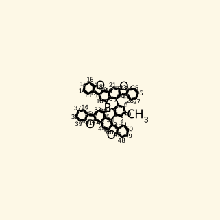 Cc1cc2c3c(c1)-c1c4c(cc5c6ccccc6oc5c4cc4oc5ccccc5c14)B3c1cc3c4ccccc4oc3c3cc4oc5ccccc5c4c-2c13